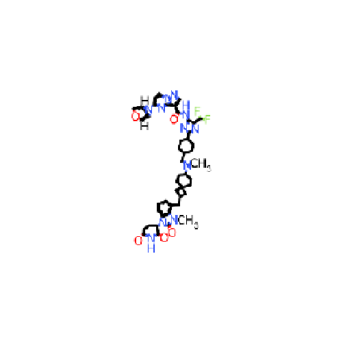 CN(CC1CCC(C2N=C(NC(=O)c3cnn4ccc(N5C[C@H]6C[C@@H]5CO6)nc34)C(C(F)F)=N2)CC1)C1CCC2(CC1)CC(Cc1cccc3c1n(C)c(=O)n3C1CCC(=O)NC1=O)C2